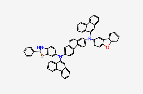 c1ccc(C2Nc3ccc(N(c4ccc5c(ccc6cc(N(c7ccc8oc9ccccc9c8c7)c7cc8ccccc8c8ccccc78)ccc65)c4)c4cc5ccccc5c5ccccc45)cc3S2)cc1